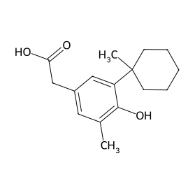 Cc1cc(CC(=O)O)cc(C2(C)CCCCC2)c1O